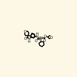 O=C(NN(C(=O)Nc1ccc2c(c1)NC(=O)C21CCOCC1)C1CCCCC1)OC1COC1